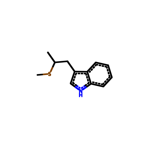 CSC(C)Cc1c[nH]c2ccccc12